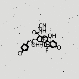 C[C@]12C[C@H](O)[C@@]3(F)[C@@H](C[C@H](F)C4=CC(=O)C=C[C@@]43C)[C@@H]1C[C@@H](CN(O)Cc1ccc(Cl)cc1)[C@@H]2C(=O)NCC#N